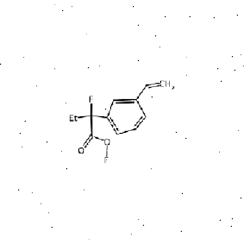 C=Cc1cccc(C(F)(CC)C(=O)OF)c1